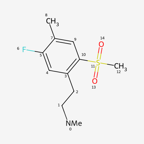 CNCCc1cc(F)c(C)cc1S(C)(=O)=O